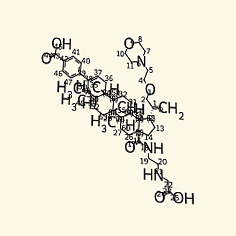 C=C(COCCN1CCOCC1)[C@@H]1CC[C@]2(C(=O)NCCNCC(=O)O)CC[C@]3(C)[C@H](CC[C@@H]4[C@@]5(C)CC=C(c6ccc(C(=O)O)cc6)C(C)(C)[C@@H]5CC[C@]43C)[C@@H]12